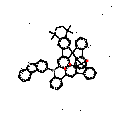 CC1(C)CCC(C)(C)c2cc3c(cc21)-c1cc(N(c2ccc4sc5ccccc5c4c2)c2ccccc2-c2ccc4c(c2)-c2ccccc2C4(C)C)ccc1C31c2ccccc2-c2ccccc21